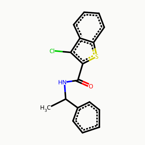 CC(NC(=O)c1sc2ccccc2c1Cl)c1ccccc1